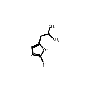 CC(C)Cc1ccc(Br)o1